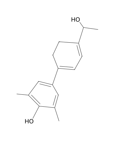 Cc1cc(C2=CC=C(C(C)O)CC2)cc(C)c1O